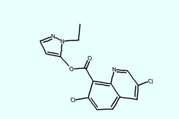 CCn1nccc1OC(=O)c1c(Cl)ccc2cc(Cl)cnc12